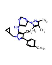 COc1ccc(-c2nn(CC3CC3)c(Nc3cc(-n4nc(C)c(C(F)(F)F)c4C)ncn3)c2C)cc1